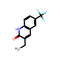 CCc1cc2cc(C(F)(F)F)ccc2[nH]c1=O